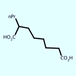 [CH2]CCC(CCCCCC(=O)O)C(=O)O